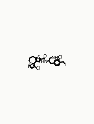 NCC(Cc1ccc(CI)c(Cl)c1)NC(=O)c1cc2c(s1)CCCn1ncc(Cl)c1-2